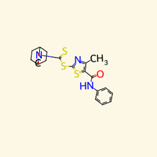 Cc1nc(SC(=S)N2CC3CCC(CC3)C2)sc1C(=O)Nc1ccccc1